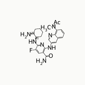 CC(=O)N(C)c1cccc2cc(Nc3nc(N[C@@H]4CCCC[C@@H]4N)c(F)cc3C(N)=O)cnc12